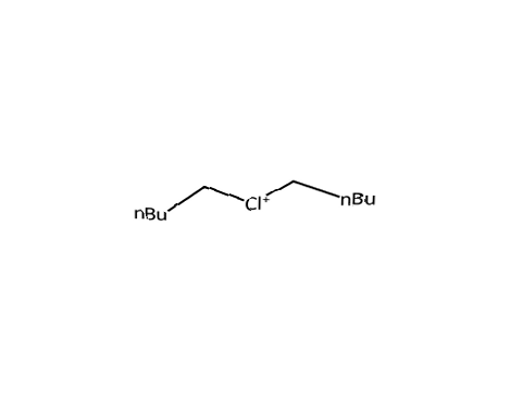 CCCCC[Cl+]CCCCC